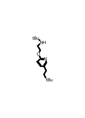 CC(C)(C)CCc1ccc(OCCNC(C)(C)C)nc1